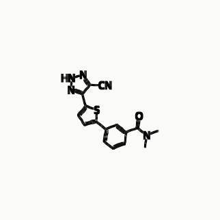 CN(C)C(=O)c1cccc(-c2ccc(-c3n[nH]nc3C#N)s2)c1